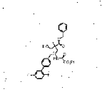 CCOC(=O)C(=O)N[C@H](Cc1ccc(-c2cc(Cl)ccc2F)cc1)CC(C)(CO)C(=O)OCc1ccccc1